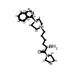 N[C@@H](CCCCN1CCN(c2nsc3ccccc23)CC1)C(=O)N1CCSC1